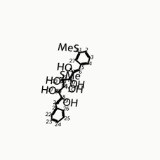 CSc1cccc(C=C(O)[C@H](O)[C@](O)(SC)[C@H](O)[C@H](O)C(O)=Cc2ccccc2)c1